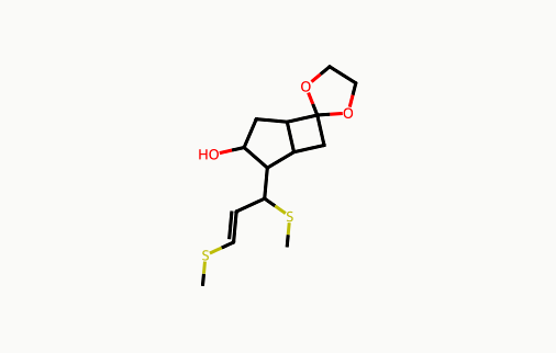 CSC=CC(SC)C1C(O)CC2C1CC21OCCO1